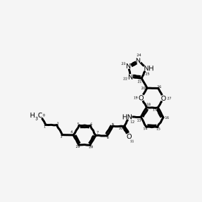 CCCCc1ccc(/C=C/C(=O)Nc2cccc3c2OC(c2nnn[nH]2)CO3)cc1